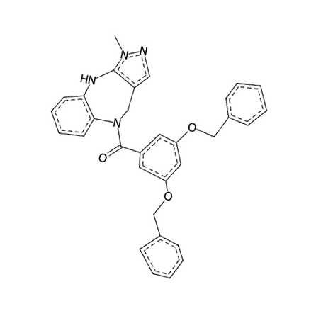 Cn1ncc2c1Nc1ccccc1N(C(=O)c1cc(OCc3ccccc3)cc(OCc3ccccc3)c1)C2